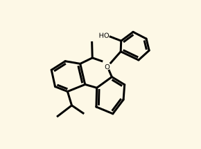 CC(C)c1cccc(C(C)C)c1-c1ccccc1Oc1ccccc1O